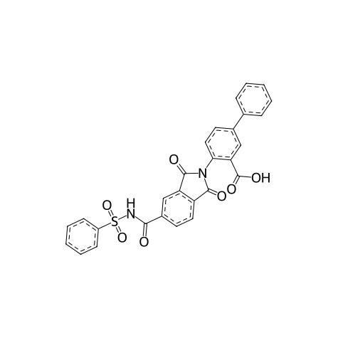 O=C(NS(=O)(=O)c1ccccc1)c1ccc2c(c1)C(=O)N(c1ccc(-c3ccccc3)cc1C(=O)O)C2=O